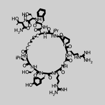 CC(C)C[C@@H]1NC(=O)CCSSC[C@@H](C(=O)N[C@@H](Cc2ccccc2)C(=O)N[C@@H](CO)C(=O)N[C@H](C(N)=O)[C@@H](C)O)NC(=O)[C@H](C(C)C)NC(=O)[C@@H]2CCCN2C(=O)[C@H](CCCNC(=N)N)NC(=O)CNC(=O)[C@H](CCCNC(=N)N)NC(=O)[C@H](Cc2ccc(O)cc2)NC(=O)[C@H](CO)NC1=O